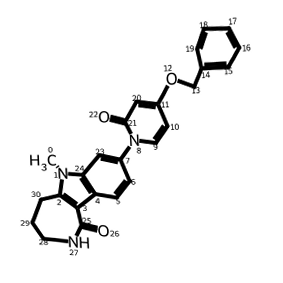 Cn1c2c(c3ccc(-n4ccc(OCc5ccccc5)cc4=O)cc31)C(=O)NCCC2